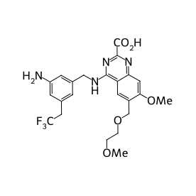 COCCOCc1cc2c(NCc3cc(N)cc(CC(F)(F)F)c3)nc(C(=O)O)nc2cc1OC